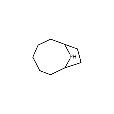 C1CCC2CCC(CC1)P2